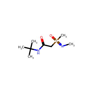 CN=S(C)(=O)CC(=O)NC(C)(C)C